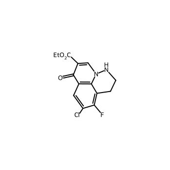 CCOC(=O)c1cn2c3c(c(F)c(Cl)cc3c1=O)CCN2